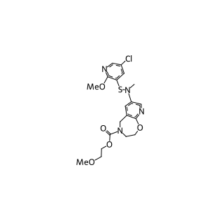 COCCOC(=O)N1CCOc2ncc(N(C)Sc3cc(Cl)cnc3OC)cc2C1